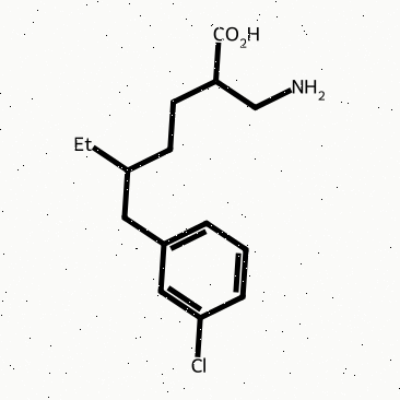 CCC(CCC(CN)C(=O)O)Cc1cccc(Cl)c1